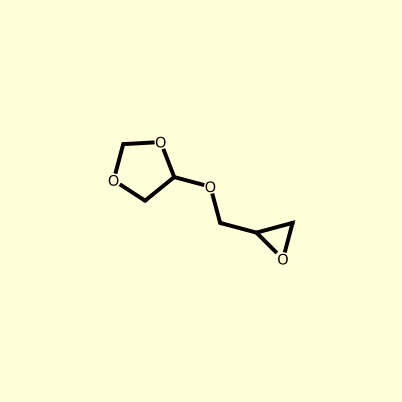 C1OCC(OCC2CO2)O1